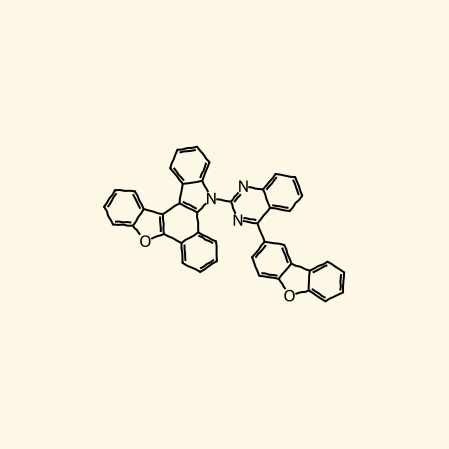 c1ccc2c(-c3ccc4oc5ccccc5c4c3)nc(-n3c4ccccc4c4c5c6ccccc6oc5c5ccccc5c43)nc2c1